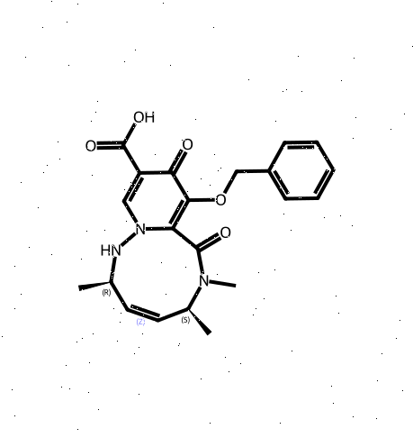 C[C@@H]1/C=C\[C@H](C)N(C)C(=O)c2c(OCc3ccccc3)c(=O)c(C(=O)O)cn2N1